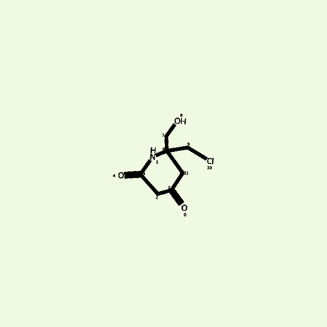 O=C1CC(=O)NC(CO)(CCl)C1